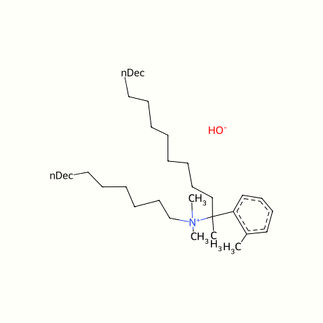 CCCCCCCCCCCCCCCCCCC(C)(c1ccccc1C)[N+](C)(C)CCCCCCCCCCCCCCCC.[OH-]